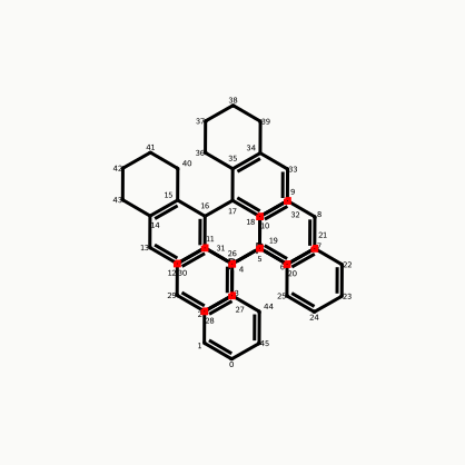 c1ccc(P(c2ccccc2)c2ccc3c(c2-c2c(P(c4ccccc4)c4ccccc4)ccc4c2CCCC4)CCCC3)cc1